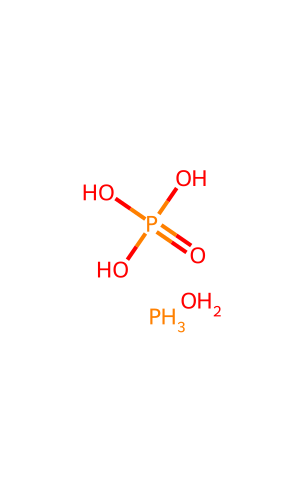 O.O=P(O)(O)O.P